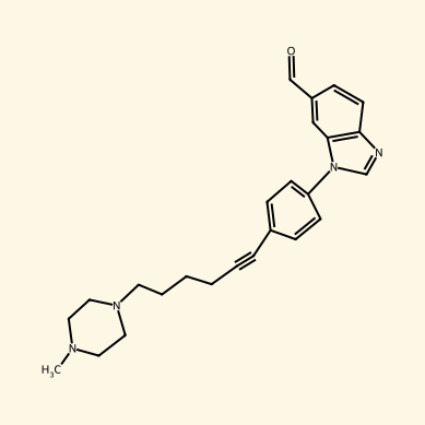 CN1CCN(CCCCC#Cc2ccc(-n3cnc4ccc(C=O)cc43)cc2)CC1